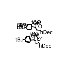 CCCCCCCCCCCCC(c1ccc(C(C)(C)C)cc1C(C)(C)C)P(=O)([O-])[O-].CCCCCCCCCCCCC(c1ccc(C(C)(C)C)cc1C(C)(C)C)P(=O)([O-])[O-].[Sr+2].[Sr+2]